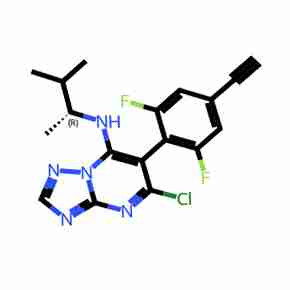 C#Cc1cc(F)c(-c2c(Cl)nc3ncnn3c2N[C@H](C)C(C)C)c(F)c1